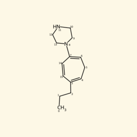 CCCC1=CCC=C(N2CCNCC2)C=C1